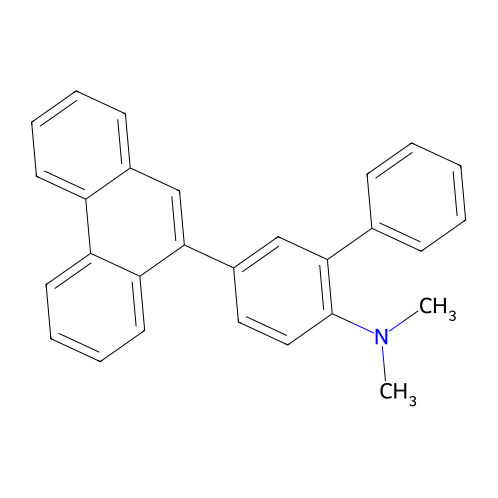 CN(C)c1ccc(-c2cc3ccccc3c3ccccc23)cc1-c1ccccc1